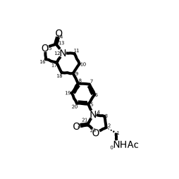 CC(=O)NC[C@H]1CN(c2ccc(C3CCN4C(=O)OCC4C3)cc2)C(=O)O1